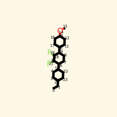 CCC1CCC(C2CCC(C3CCC(OC)CC3)C(F)C2F)CC1